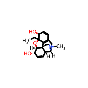 CCC12O[C@H]3[C@@H](O)C=C[C@H]4[C@H]5CC(=C1[C@]43CCN5C)C=CC2O